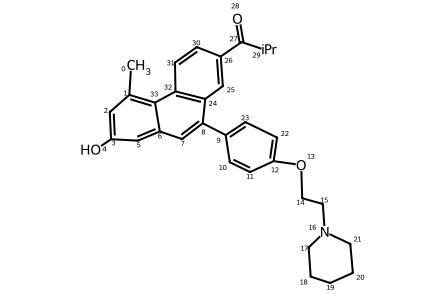 Cc1cc(O)cc2cc(-c3ccc(OCCN4CCCCC4)cc3)c3cc(C(=O)C(C)C)ccc3c12